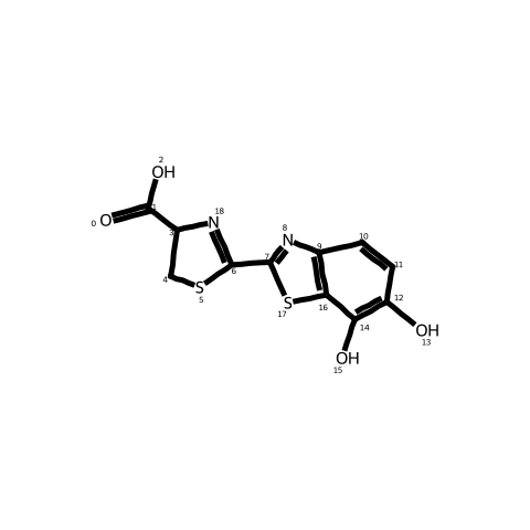 O=C(O)C1CSC(c2nc3ccc(O)c(O)c3s2)=N1